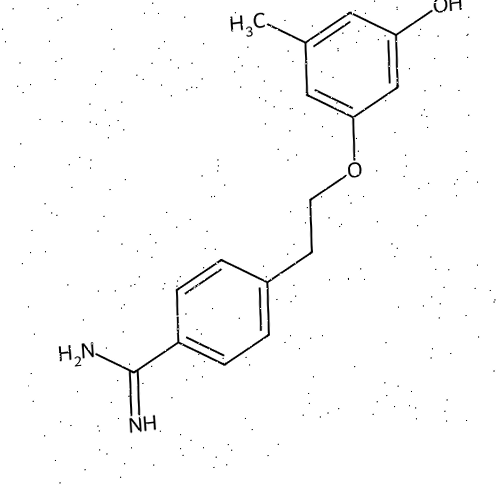 Cc1cc(O)cc(OCCc2ccc(C(=N)N)cc2)c1